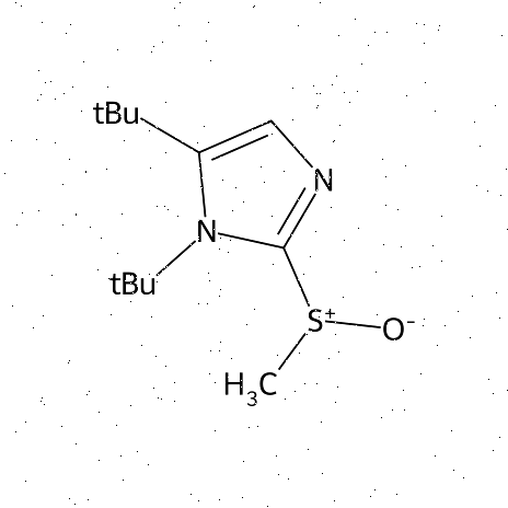 C[S+]([O-])c1ncc(C(C)(C)C)n1C(C)(C)C